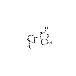 CN(C)c1cccc(-c2nc(Cl)nc3[nH]ccc23)c1